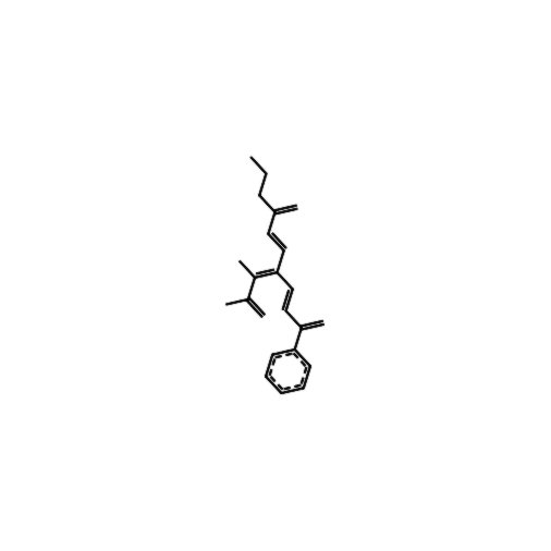 C=C(C=CC(C=CC(=C)c1ccccc1)=C(C)C(=C)C)CCC